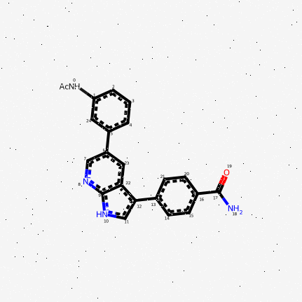 CC(=O)Nc1cccc(-c2cnc3[nH]cc(-c4ccc(C(N)=O)cc4)c3c2)c1